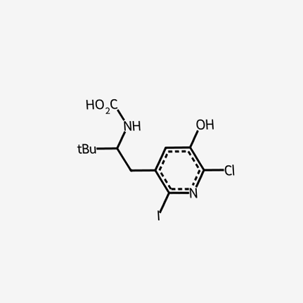 CC(C)(C)C(Cc1cc(O)c(Cl)nc1I)NC(=O)O